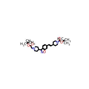 CC(C)(C)OC(=O)CN1CCC(c2noc3cc(C=CC4CCN(C(=O)OC(C)(C)C)CC4)ccc23)CC1